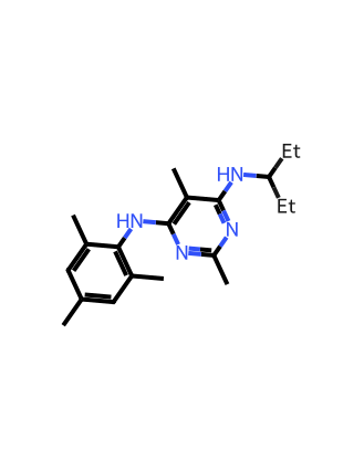 CCC(CC)Nc1nc(C)nc(Nc2c(C)cc(C)cc2C)c1C